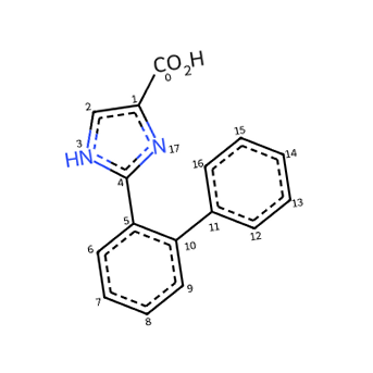 O=C(O)c1c[nH]c(-c2ccccc2-c2ccccc2)n1